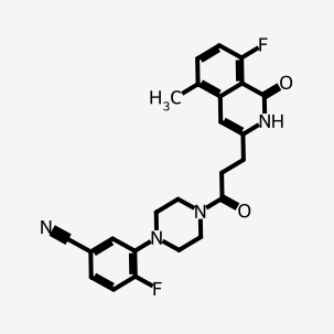 Cc1ccc(F)c2c(=O)[nH]c(CCC(=O)N3CCN(c4cc(C#N)ccc4F)CC3)cc12